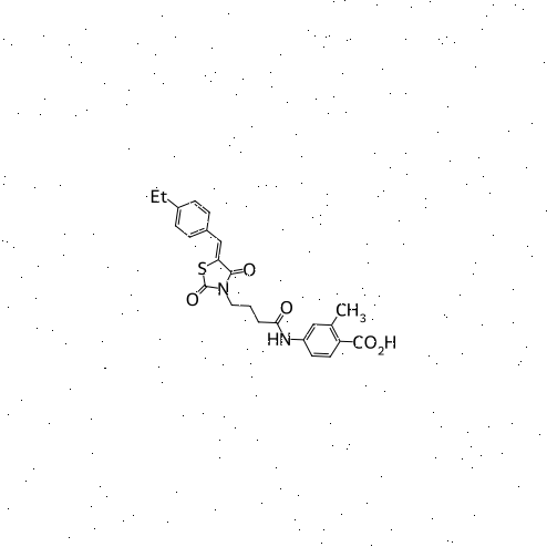 CCc1ccc(/C=C2\SC(=O)N(CCCC(=O)Nc3ccc(C(=O)O)c(C)c3)C2=O)cc1